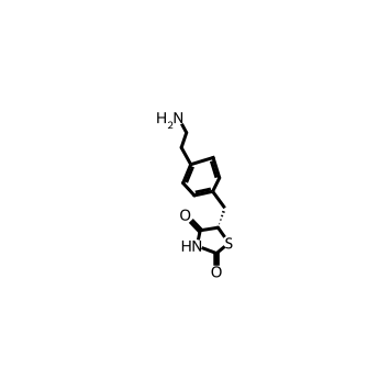 NCCc1ccc(C[C@@H]2SC(=O)NC2=O)cc1